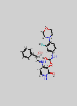 O=C(Nc1ccc(N2CCOCC2)c(F)c1)Oc1c(NC[C@@H](O)c2ccccc2)cc[nH]c1=O